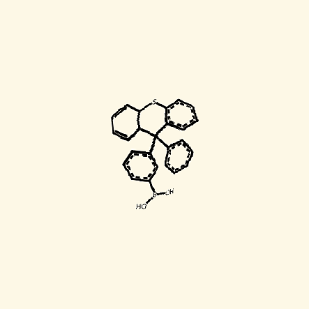 OB(O)c1cccc(C2(c3ccccc3)c3ccccc3SC3C=CC=CC32)c1